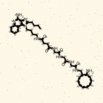 CCCCc1nc2c(N)nc3ccccc3c2n1CCCCNC(=O)CCC(=O)NCC(=O)NCC(=O)NCC(=O)NCc1ccccccccc1N